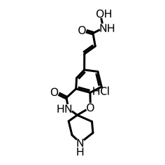 Cl.O=C(C=Cc1ccc2c(c1)C(=O)NC1(CCNCC1)O2)NO